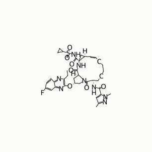 CCc1nc2ccc(F)cc2nc1O[C@@H]1C[C@H]2C(=O)N[C@]3(C(=O)NS(=O)(=O)C4CC4)C[C@H]3C=CCCCCC[C@H](NC(=O)c3cc(C)nn3C)C(=O)N2C1